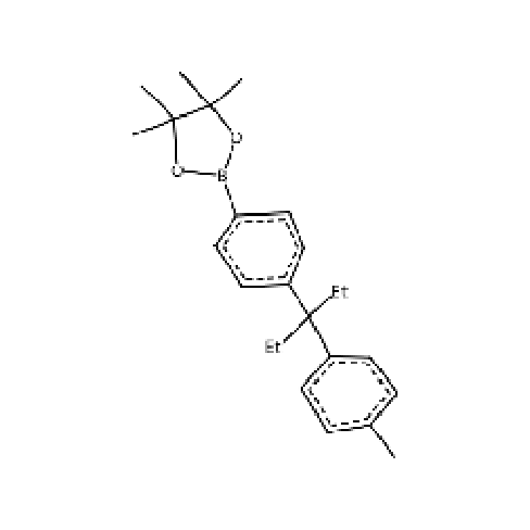 CCC(CC)(c1ccc(C)cc1)c1ccc(B2OC(C)(C)C(C)(C)O2)cc1